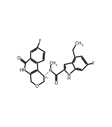 CCc1cc(F)cc2[nH]c(C(=O)N(C)[C@@H]3COCc4[nH]c(=O)c5cc(F)ccc5c43)cc12